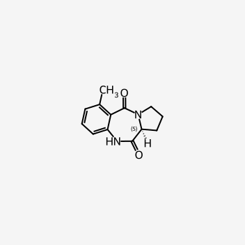 Cc1cccc2c1C(=O)N1CCC[C@H]1C(=O)N2